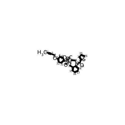 CC#CCOc1ccc(S(=O)(=O)N2Cc3ccccc3N(C(=O)c3cccs3)CC2C(=O)O)cc1